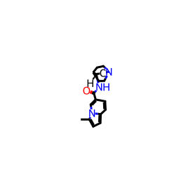 Cc1ccc2ccc(C(=O)N[C@H]3CN4CCC3CC4)cn12